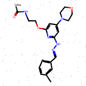 COC(=O)NCCOc1cc(N2CCOCC2)cc(N/N=C/c2cccc(C)c2)n1